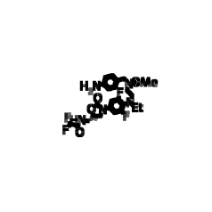 CCN(CCN(Cc1ccc(N)cc1)OC)c1c(F)cc(N2C[C@H](CNC(=O)C(F)F)OC2=O)cc1F